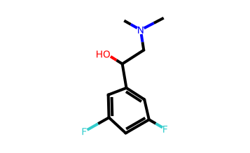 CN(C)CC(O)c1cc(F)cc(F)c1